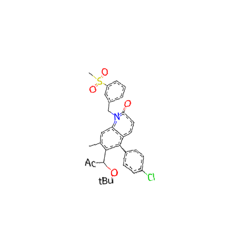 CC(=O)C(OC(C)(C)C)c1c(C)cc2c(ccc(=O)n2Cc2cccc(S(C)(=O)=O)c2)c1-c1ccc(Cl)cc1